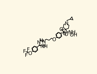 N=C(/N=N\NCCCOc1ccc(S(=O)(=O)C2(C(=O)NO)CCN(CC3CC3)CC2)cc1)c1ccc(OC(F)(F)F)cc1